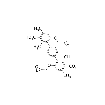 Cc1cc(OCC2CO2)c(-c2ccc(-c3c(OCC4CO4)cc(C)c(C(=O)O)c3C)cc2)c(C)c1C(=O)O